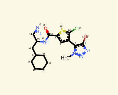 Cn1nnc(Br)c1-c1cc(C(=O)NC(CN)CC2CCCCC2)sc1Cl